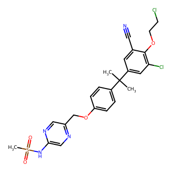 CC(C)(c1ccc(OCc2cnc(NS(C)(=O)=O)cn2)cc1)c1cc(Cl)c(OCCCl)c(C#N)c1